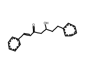 O=C(/C=C/c1ccccc1)CC(O)CCc1ccccc1